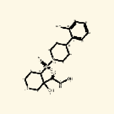 O=C(NO)C1(O)COCCC1S(=O)(=O)N1CCC(c2ccccc2F)CC1